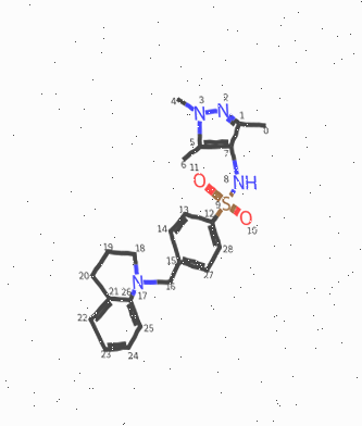 Cc1nn(C)c(C)c1NS(=O)(=O)c1ccc(CN2CCCc3ccccc32)cc1